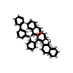 c1ccc(-c2cccc(N(c3ccccc3-c3cccc4oc5c6ccccc6ccc5c34)c3cccc4ccccc34)c2)cc1